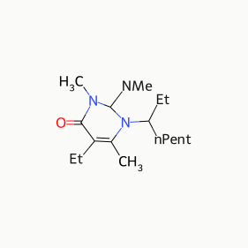 CCCCCC(CC)N1C(C)=C(CC)C(=O)N(C)C1NC